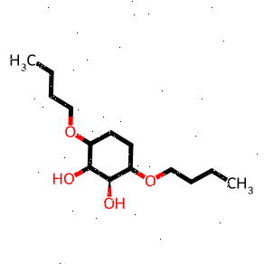 CCCCOC1CCC(OCCCC)[C@@H](O)C1O